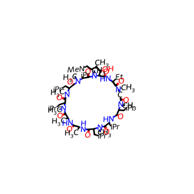 CCC1NC(=O)C(C(O)C(C)CCNC)N(C)C(=O)C(C(C)C)N(C)C(=O)C(CC(C)C)N(C)C(=O)C(CC(C)C)N(C)C(=O)C(C)NC(=O)C(C)NC(=O)C(CC(C)C)N(C)C(=O)C(C(C)C)NC(=O)C(CC(C)C)N(C)C(=O)CN(C)C1=O